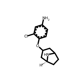 Nc1ccc(OC2CC3CC[C@@H](C2)N3)c(Cl)c1